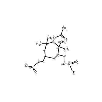 CC(=O)ON1C(C)(C)CC(CO[N+](=O)[O-])CC(CO[N+](=O)[O-])C1(C)C